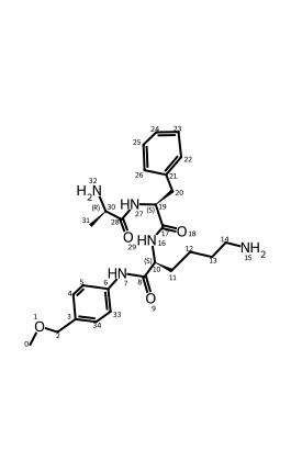 COCc1ccc(NC(=O)[C@H](CCCCN)NC(=O)[C@H](Cc2ccccc2)NC(=O)[C@@H](C)N)cc1